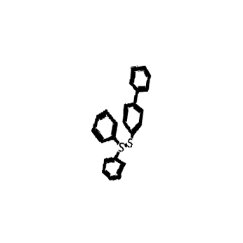 c1ccc(-c2ccc(S[S+](c3ccccc3)c3ccccc3)cc2)cc1